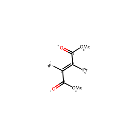 CCCC(C(=O)OC)=C(C(=O)OC)C(C)C